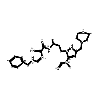 CC(CCN1NC(CN2CCOCC2)C=C1N(C)C=O)NC(=O)C(=N)/N=C\NCc1ccccc1